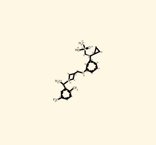 CC(c1cc(C(F)(F)F)ccc1C(F)(F)F)N1CC(COc2cccc([C@@H](CP(C)(=O)O)C3CC3)c2)C1